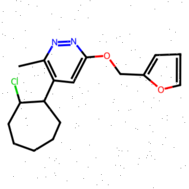 Cc1nnc(OCc2ccco2)cc1C1CCCCCC1Cl